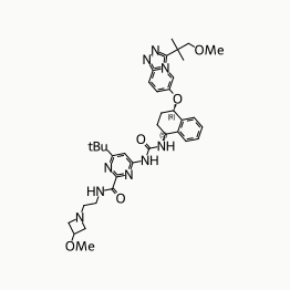 COCC(C)(C)c1nnc2ccc(O[C@@H]3CC[C@H](NC(=O)Nc4cc(C(C)(C)C)nc(C(=O)NCCN5CC(OC)C5)n4)c4ccccc43)cn12